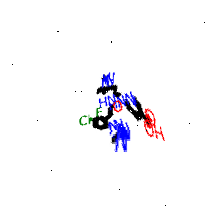 Cc1cc(CC(CNc2ccc(C(=O)O)cn2)NC(=O)C=Cc2c(-n3cnnn3)ccc(Cl)c2F)nn1C